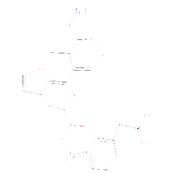 Cc1c(CN)cccc1-c1cc(C2CN(C)c3cccc(CC(=O)O)c3O2)cc2ccoc12